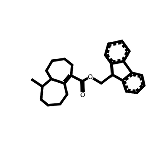 CC1CCCCC2=C(C(=O)OCC3c4ccccc4-c4ccccc43)CCCCC21